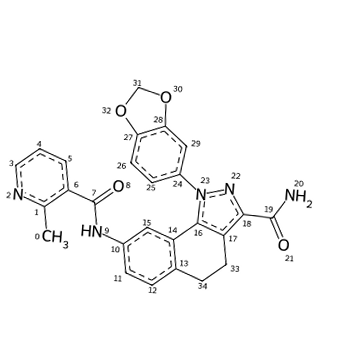 Cc1ncccc1C(=O)Nc1ccc2c(c1)-c1c(c(C(N)=O)nn1-c1ccc3c(c1)OCO3)CC2